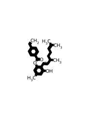 C=Cc1ccc(C(=O)Oc2cc(C)cc(O)c2/C=C/C(C)CCC=C(C)C)cc1